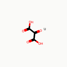 O=C(O)C(=O)C(=O)O.[U]